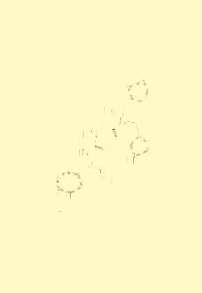 CCCC[C@@H](NC(=O)N[C@@H](c1ccc2c(c1)OCO2)C(C)C(=O)O)C(=O)N(Cc1cccs1)Cc1cccs1